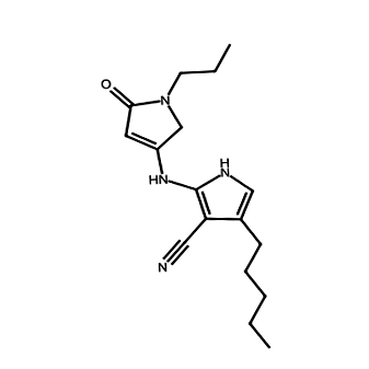 CCCCCc1c[nH]c(NC2=CC(=O)N(CCC)C2)c1C#N